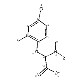 Cc1cc(Cl)ccc1OC(C(=O)O)N(C)C